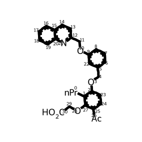 CCCc1c(OCc2cccc(OCc3ccc4ccccc4n3)c2)ccc(C(C)=O)c1OCC(=O)O